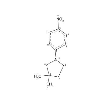 CC1(C)CCN(c2ccc([N+](=O)[O-])cc2)C1